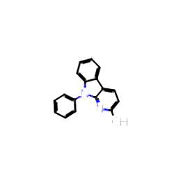 Cc1ccc2c3ccccc3n(-c3ccccc3)c2n1